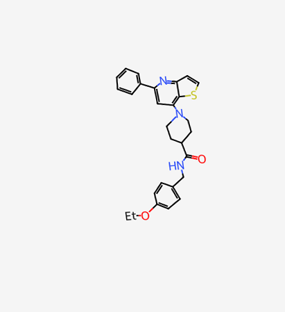 CCOc1ccc(CNC(=O)C2CCN(c3cc(-c4ccccc4)nc4ccsc34)CC2)cc1